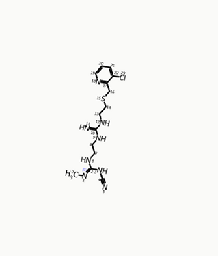 C/N=C(/NC#N)NCCNC(=N)NCCSCc1ncccc1Cl